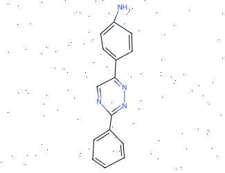 Nc1ccc(-c2cnc(-c3ccccc3)nn2)cc1